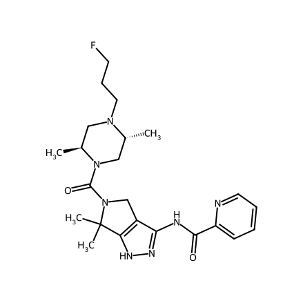 C[C@@H]1CN(C(=O)N2Cc3c(NC(=O)c4ccccn4)n[nH]c3C2(C)C)[C@@H](C)CN1CCCF